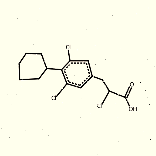 O=C(O)C(Cl)Cc1cc(Cl)c(C2CCCCC2)c(Cl)c1